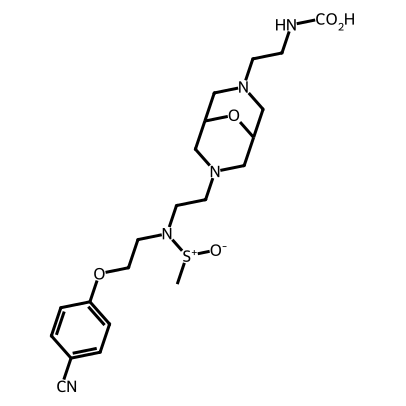 C[S+]([O-])N(CCOc1ccc(C#N)cc1)CCN1CC2CN(CCNC(=O)O)CC(C1)O2